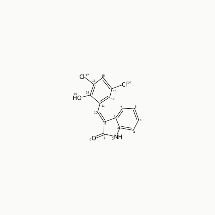 O=C1Nc2ccccc2/C1=C\c1cc(Cl)cc(Cl)c1O